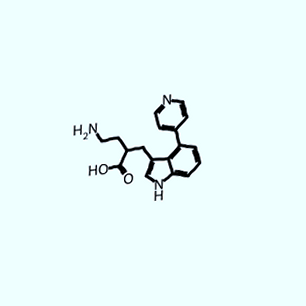 NCCC(Cc1c[nH]c2cccc(-c3ccncc3)c12)C(=O)O